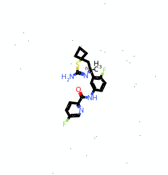 C[C@@]1(c2cc(NC(=O)c3ccc(F)cn3)ccc2F)CC2(CCC2)SC(N)=N1